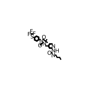 CCCCN(C)C(=O)Nc1cc(CN2C(=O)N(c3ccc(SC(F)(F)F)cc3)C(=O)C2(C)C)ccn1